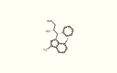 CNC[C@@H](O)[C@H](c1ccccc1)n1cc(C)c2cccc(F)c21